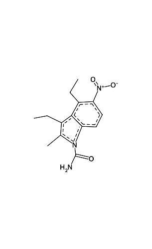 CCc1c([N+](=O)[O-])ccc2c1c(CC)c(C)n2C(N)=O